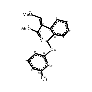 COC=C(C(=O)OC)c1ccccc1COc1cccc(C(F)(F)F)n1